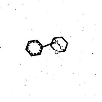 [c]1cccc(N2CC3CCC2CO3)c1